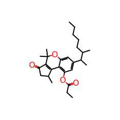 CCCCCC(C)C(C)c1cc(OC(=O)CC)c2c(c1)OC(C)(C)C1=C2C(C)CC1=O